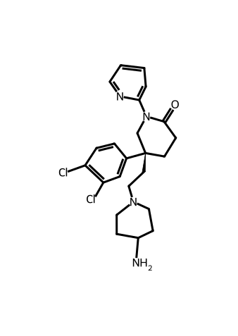 NC1CCN(CC[C@]2(c3ccc(Cl)c(Cl)c3)CCC(=O)N(c3ccccn3)C2)CC1